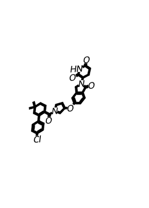 CC1(C)CCC(C(=O)N2CCC(Oc3ccc4c(c3)CN(C3CCC(=O)NC3=O)C4=O)C2)=C(c2ccc(Cl)cc2)C1